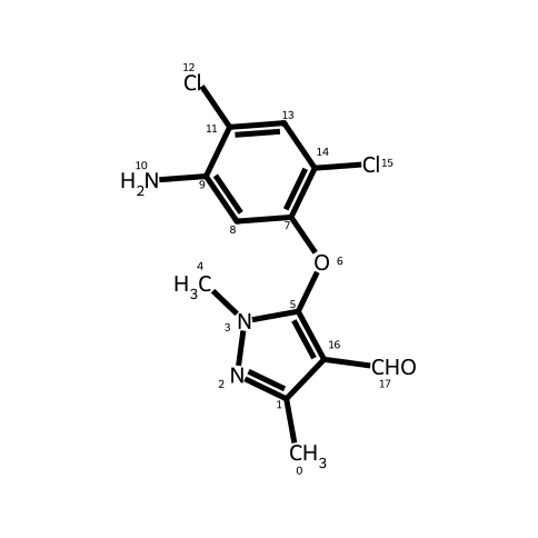 Cc1nn(C)c(Oc2cc(N)c(Cl)cc2Cl)c1C=O